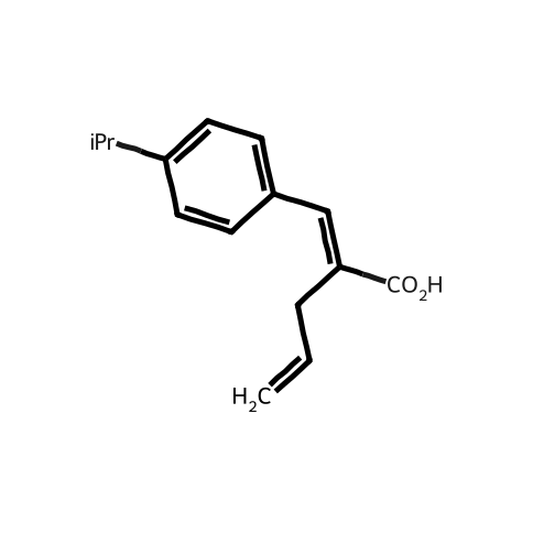 C=CC/C(=C\c1ccc(C(C)C)cc1)C(=O)O